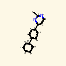 Cc1nccc(-c2ccc(-c3ccccc3)cc2)n1